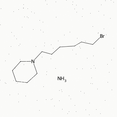 BrCCCCCCN1CCCCC1.N